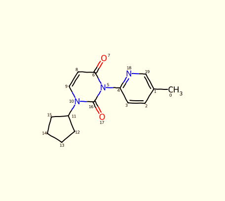 Cc1ccc(-n2c(=O)ccn(C3CCCC3)c2=O)nc1